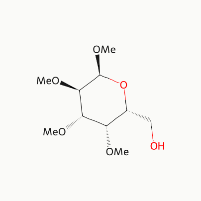 CO[C@H]1O[C@H](CO)[C@H](OC)[C@H](OC)[C@H]1OC